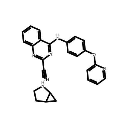 C#Cc1nc(Nc2ccc(Oc3ccccn3)cc2)c2ccccc2n1.C1CC2CC2N1